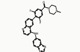 CN1CCN(C(=O)c2cc(F)c(-c3ccc4nccc(Nc5ccc6scnc6c5)c4c3)c(F)c2)CC1